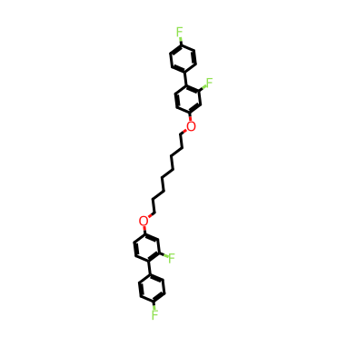 Fc1ccc(-c2ccc(OCCCCCCCCOc3ccc(-c4ccc(F)cc4)c(F)c3)cc2F)cc1